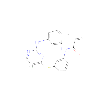 C=CC(=O)Nc1cccc(Sc2nc(Nc3ccc(C)cc3)ncc2Cl)c1